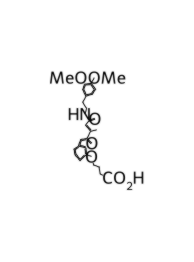 COc1ccc(CCNC(=O)C=C(C)c2cc3cccc(OCCCC(=O)O)c3o2)cc1OC